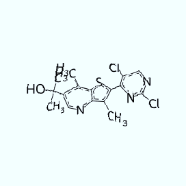 Cc1c(-c2nc(Cl)ncc2Cl)sc2c(C)c(C(C)(C)O)cnc12